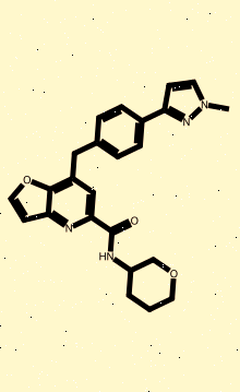 Cn1ccc(-c2ccc(Cc3cc(C(=O)NC4CCCOC4)nc4ccoc34)cc2)n1